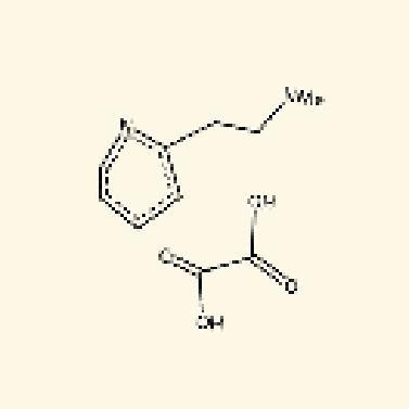 CNCCc1ccccn1.O=C(O)C(=O)O